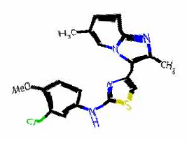 COc1ccc(Nc2nc(-c3c(C)nc4ccc(C)cn34)cs2)cc1Cl